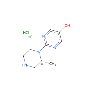 C[C@@H]1CNCCN1c1ncc(O)cn1.Cl.Cl